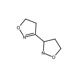 C1CC(C2=NOCC2)[N]O1